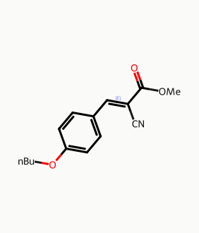 CCCCOc1ccc(/C=C(\C#N)C(=O)OC)cc1